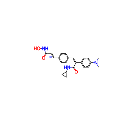 CN(C)c1ccc(C(=Cc2ccc(/C=C/C(=O)NO)cc2)C(=O)NC2CC2)cc1